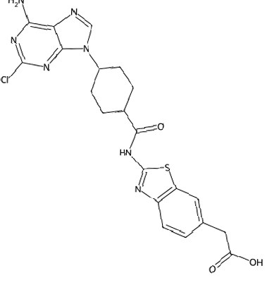 Nc1nc(Cl)nc2c1ncn2C1CCC(C(=O)Nc2nc3ccc(CC(=O)O)cc3s2)CC1